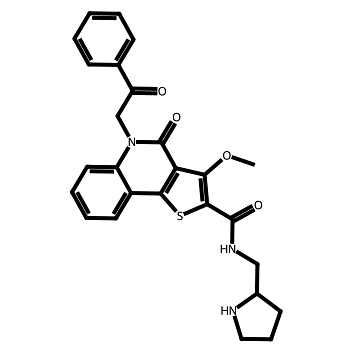 COc1c(C(=O)NCC2CCCN2)sc2c1c(=O)n(CC(=O)c1ccccc1)c1ccccc21